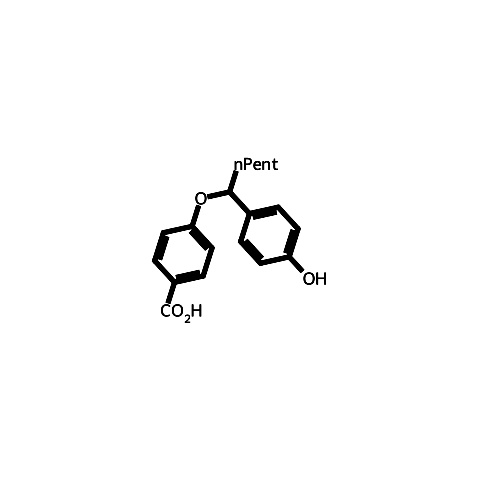 CCCCCC(Oc1ccc(C(=O)O)cc1)c1ccc(O)cc1